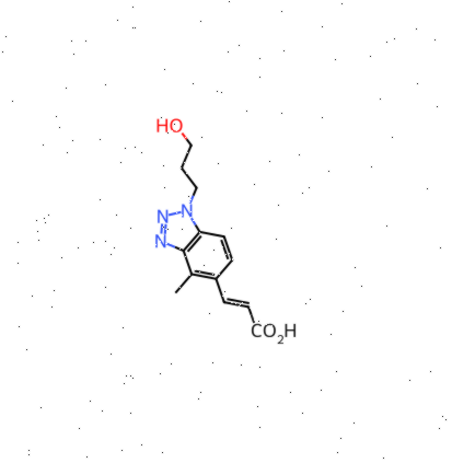 Cc1c(C=CC(=O)O)ccc2c1nnn2CCCO